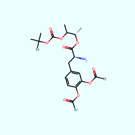 CCC(=O)Oc1ccc(C[C@H](N)C(=O)O[C@@H](C)C(C)OC(=O)OC(C)(C)CC)cc1OC(=O)CC